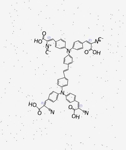 [C-]#[N+]/C(=C\c1ccc(N(c2ccc(C=Cc3ccc(N(c4ccc(/C=C(/C#N)C(=O)O)cc4)c4ccc(/C=C(\C#N)C(=O)O)cc4)cc3)cc2)c2ccc(/C=C(/[N+]#[C-])C(=O)O)cc2)cc1)C(=O)O